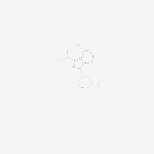 CC(C)c1nn(C2CCCN(C(C)C)C2)c2ncnc(N)c12